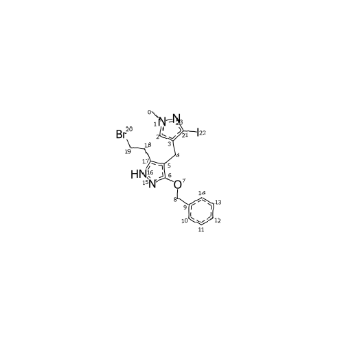 Cn1cc(Cc2c(OCc3ccccc3)n[nH]c2CCBr)c(I)n1